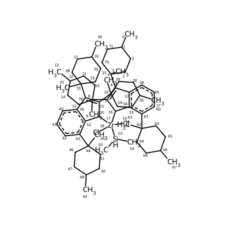 CC1CCC(C)(C2=C(C3(C)CCC(C)CC3)[CH]([Zr]([Cl])([Cl])([CH]3C(C4(C)CCC(C)CC4)=C(C4(C)CCC(C)CC4)c4cccc(C5(C)CCC(C)CC5)c43)[SiH](C)C)c3c2cccc3C2(C)CCC(C)CC2)CC1